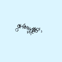 Cc1cc(C(F)(F)F)nn1CC(C=O)N1CCN(c2nc(-c3cc(C4=CCCC=C4)on3)cs2)CC1